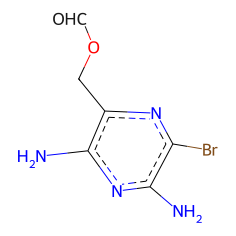 Nc1nc(N)c(COC=O)nc1Br